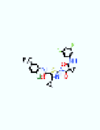 O=C(Nc1cc(C(F)(F)F)ccc1Cl)c1sc(NC(=O)C2(C(=O)Nc3cc(F)cc(F)c3)CC2)nc1C1CC1